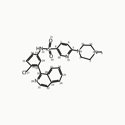 CN1CCN(c2ccc(S(=O)(=O)Nc3ccc(Cl)c(-c4nccc5ccccc45)c3)cn2)CC1